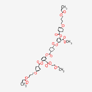 C=CC(=O)OCCCCOC1=CC=C(C(=O)Oc2ccc(OC(=O)C3CCC(C(=O)Oc4ccc(OC(=O)c5ccc(OCCCCOC(=O)C=C)cc5)c(C(=O)OCCOCC)c4)CC3)cc2C(=O)OC)CC1